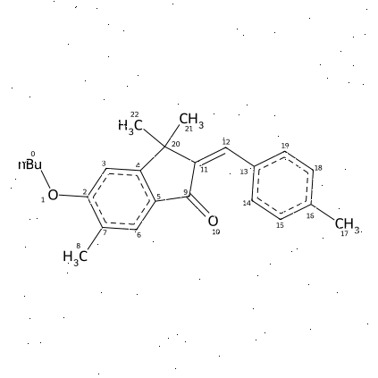 CCCCOc1cc2c(cc1C)C(=O)/C(=C\c1ccc(C)cc1)C2(C)C